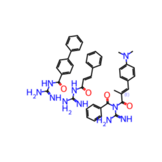 C/C(=C\c1ccc(N(C)C)cc1)C(=O)N(C(=N)N)C(=O)c1ccccc1.N=C(N)NC(=O)C=Cc1ccccc1.N=C(N)NC(=O)c1ccc(-c2ccccc2)cc1